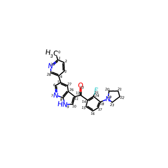 Cc1ccc(-c2cnc3[nH]cc(C(=O)c4cccc(N5CCCC5)c4F)c3c2)cn1